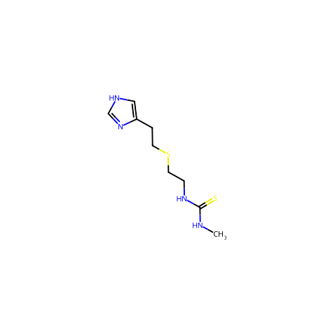 CNC(=S)NCCSCCc1c[nH]cn1